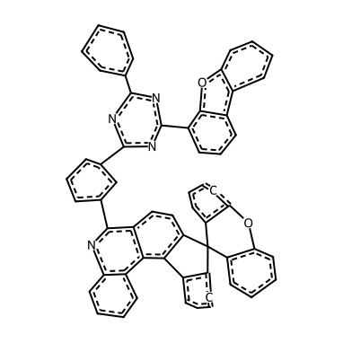 c1ccc(-c2nc(-c3cccc(-c4nc5ccccc5c5c6c(ccc45)C4(c5ccccc5Oc5ccccc54)c4ccccc4-6)c3)nc(-c3cccc4c3oc3ccccc34)n2)cc1